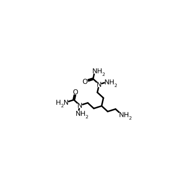 NCCC(CCN(N)C(N)=O)CCN(N)C(N)=O